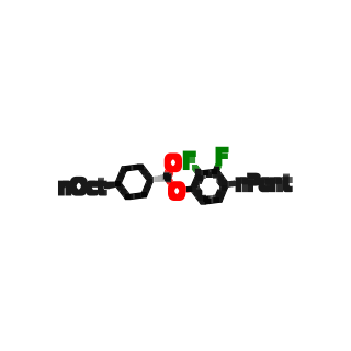 CCCCCCCC[C@H]1CC[C@H](C(=O)Oc2ccc(CCCCC)c(F)c2F)CC1